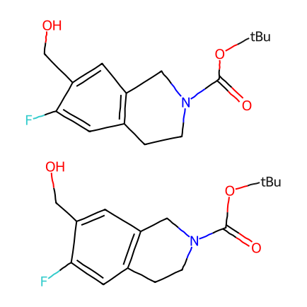 CC(C)(C)OC(=O)N1CCc2cc(F)c(CO)cc2C1.CC(C)(C)OC(=O)N1CCc2cc(F)c(CO)cc2C1